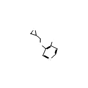 Brc1ccncc1OCC1CO1